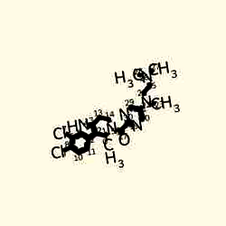 C[C@@H]1c2c([nH]c3c(Cl)c(Cl)ccc23)CCN1C(=O)c1ncc(N(C)CCN(C)C)cn1